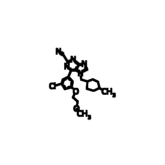 COCCOc1cc(Cl)cc(-c2nc(C#N)nc3ncn(CC4CCC(C)CC4)c23)c1